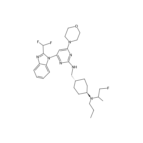 CCCN(C(C)CF)[C@H]1CC[C@H](CNc2nc(N3CCOCC3)cc(-n3c(C(F)F)nc4ccccc43)n2)CC1